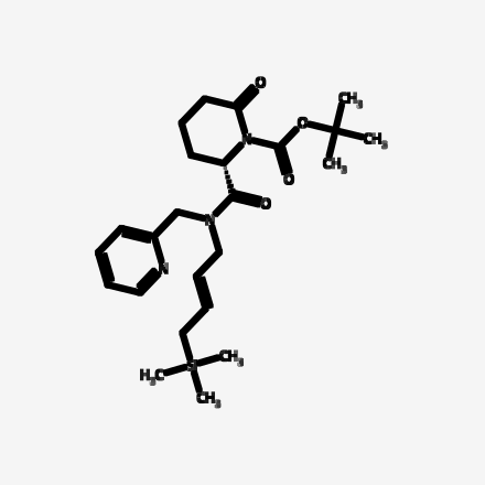 CC(C)(C)OC(=O)N1C(=O)CCC[C@H]1C(=O)N(CC=CC[Si](C)(C)C)Cc1ccccn1